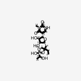 CCC(C)(C[C@H]1O[C@@H](c2c[nH]c(=O)n(C)c2=O)[C@H](O)[C@@H]1O)OP(=O)(O)C(C)O